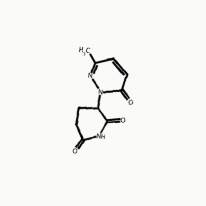 Cc1ccc(=O)n(C2CCC(=O)NC2=O)n1